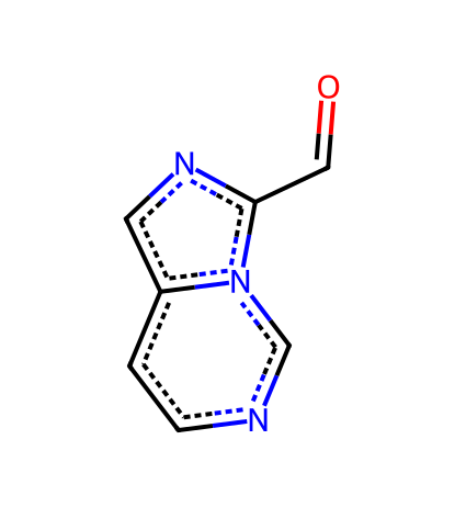 O=Cc1ncc2ccncn12